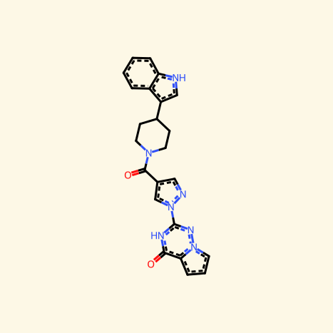 O=C(c1cnn(-c2nn3cccc3c(=O)[nH]2)c1)N1CCC(c2c[nH]c3ccccc23)CC1